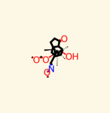 COCO[C@H]1[C@H](C)C23CCC(=O)C2[C@@](C)([C@H](C)CC3)[C@H](O)C[C@@]1(C)C=NOC